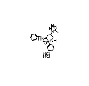 CO[C@]1(c2ccccc2)NCC(n2nnnc2C)C[C@@H]1NCc1ccccc1.Cl.Cl